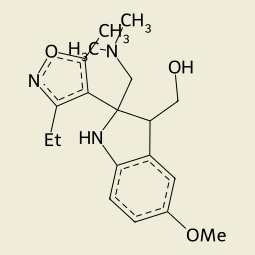 CCc1noc(C)c1C1(CN(C)C)Nc2ccc(OC)cc2C1CO